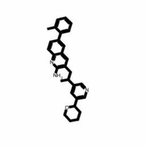 Cc1ccccc1-c1ccc2nc(N)c(CC(C)c3cncc(C4CCCCO4)c3)cc2c1